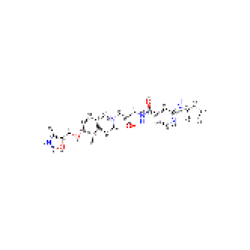 Cc1ncoc1COc1ccc2c(c1C)CCN(CC(O)CNC(=O)c1ccnc(NC3CCCC3)c1)C2